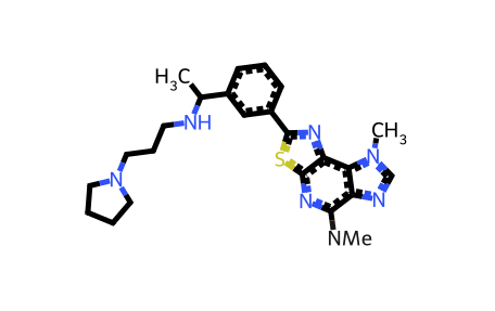 CNc1nc2sc(-c3cccc(C(C)NCCCN4CCCC4)c3)nc2c2c1ncn2C